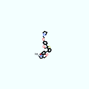 CN1CCCC12CCOc1c(-c3cccc4sc(-c5ccc(OCCN6CCCC6)cc5)c(C=O)c34)cccc12